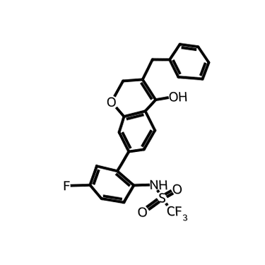 O=S(=O)(Nc1ccc(F)cc1-c1ccc2c(c1)OCC(Cc1ccccc1)=C2O)C(F)(F)F